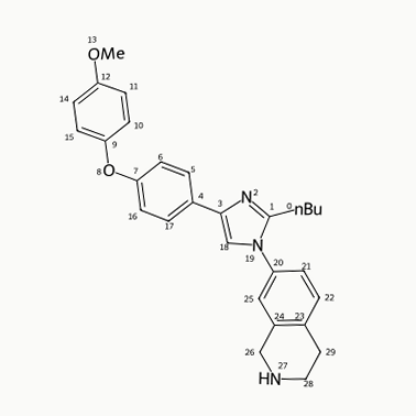 CCCCc1nc(-c2ccc(Oc3ccc(OC)cc3)cc2)cn1-c1ccc2c(c1)CNCC2